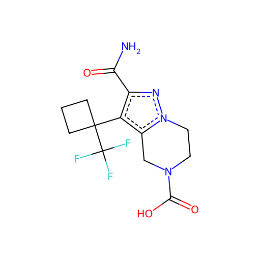 NC(=O)c1nn2c(c1C1(C(F)(F)F)CCC1)CN(C(=O)O)CC2